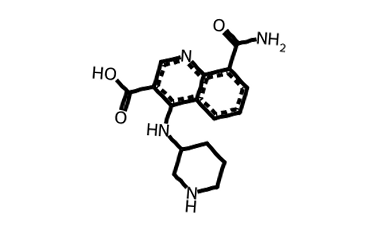 NC(=O)c1cccc2c(NC3CCCNC3)c(C(=O)O)cnc12